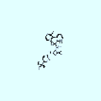 Cc1cccnc1-c1cccnc1C(=O)N1CC2CC23CC(Oc2ccc(C(F)(F)F)cn2)C13